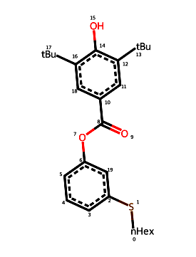 CCCCCCSc1cccc(OC(=O)c2cc(C(C)(C)C)c(O)c(C(C)(C)C)c2)c1